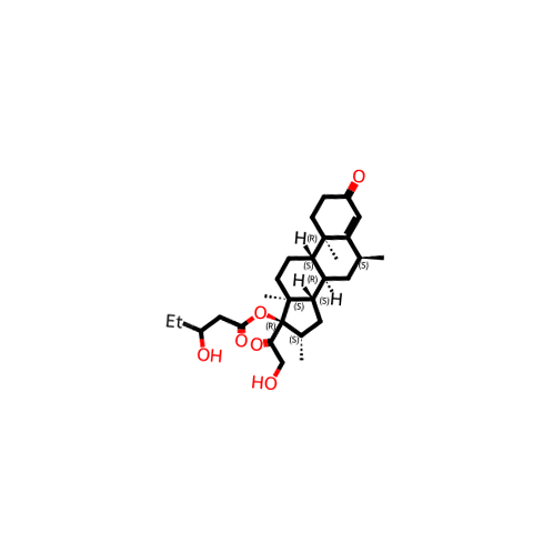 CCC(O)CC(=O)O[C@]1(C(=O)CO)[C@@H](C)C[C@H]2[C@@H]3C[C@H](C)C4=CC(=O)CC[C@]4(C)[C@H]3CC[C@@]21C